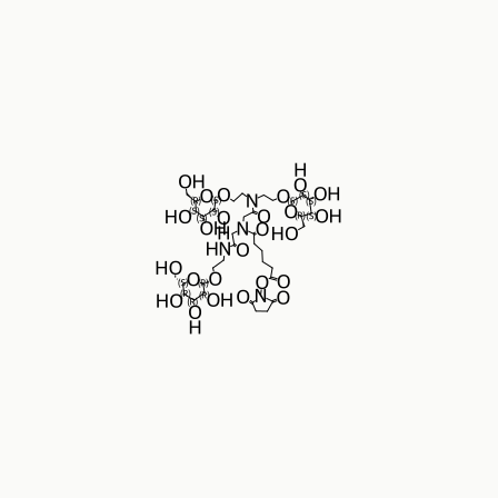 O=C(CN(CC(=O)N(CCO[C@H]1O[C@H](CO)[C@@H](O)[C@H](O)[C@@H]1O)CCO[C@H]1O[C@H](CO)[C@@H](O)[C@H](O)[C@@H]1O)C(=O)CCCCC(=O)ON1C(=O)CCC1=O)NCCO[C@@H]1O[C@@H](CO)[C@H](O)[C@@H](O)[C@H]1O